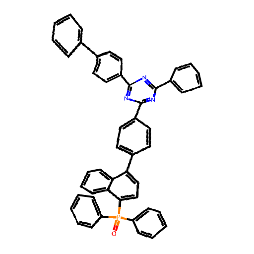 O=P(c1ccccc1)(c1ccccc1)c1ccc(-c2ccc(-c3nc(-c4ccccc4)nc(-c4ccc(-c5ccccc5)cc4)n3)cc2)c2ccccc12